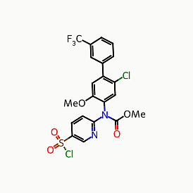 COC(=O)N(c1ccc(S(=O)(=O)Cl)cn1)c1cc(Cl)c(-c2cccc(C(F)(F)F)c2)cc1OC